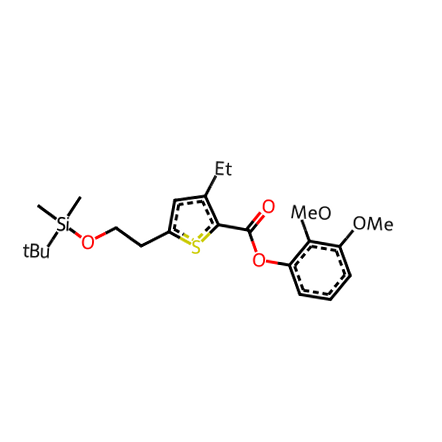 CCc1cc(CCO[Si](C)(C)C(C)(C)C)sc1C(=O)Oc1cccc(OC)c1OC